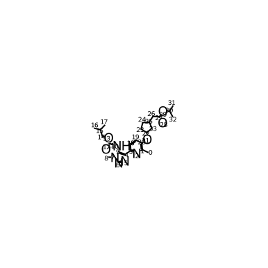 Cc1nc(-c2nnn(C)c2NC(=O)OCC(C)C)ccc1OC1CCC(CC(=O)OC(C)C)C1